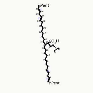 CCCCC/C=C/C/C=C/CCCCCCCCC(CCCCCCCC/C=C/C/C=C/CCCCC)C(CCN(C)C)C(=O)O